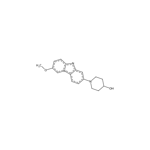 COc1ccc2nc3cc(N4CCC(O)CC4)ccc3n2c1